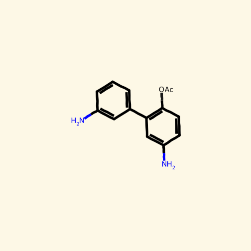 CC(=O)Oc1ccc(N)cc1-c1cccc(N)c1